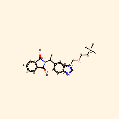 CC(c1ccc2ncn(COCC[Si](C)(C)C)c2c1)N1C(=O)c2ccccc2C1=O